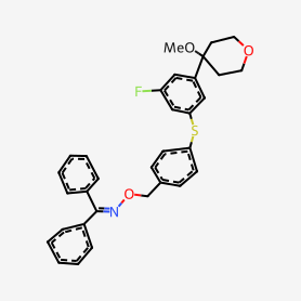 COC1(c2cc(F)cc(Sc3ccc(CON=C(c4ccccc4)c4ccccc4)cc3)c2)CCOCC1